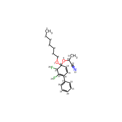 CCCCCCCOC1(OC(C)C#N)C=CC(c2ccccc2)=C(F)C1F